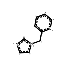 [c]1cccnc1Cn1ccnc1